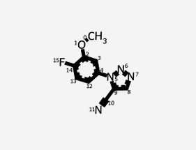 COc1cc(-n2nncc2C#N)ccc1F